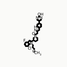 COCCCn1c(C2CCCN(C(=O)C[C@H](N)Cc3ccc(-c4cnc(O)nc4)cc3)C2)cc2c(F)ccc(Cl)c21